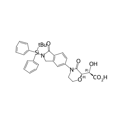 CC(C)(C)[Si](c1ccccc1)(c1ccccc1)N1Cc2cc(N3CCO[C@H]([C@@H](O)C(=O)O)C3=O)ccc2C1=O